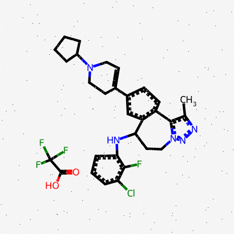 Cc1nnn2c1-c1ccc(C3=CCN(C4CCCC4)CC3)cc1C(Nc1cccc(Cl)c1F)CC2.O=C(O)C(F)(F)F